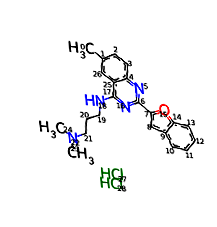 Cc1ccc2nc(-c3cc4ccccc4o3)nc(NCCCN(C)C)c2c1.Cl.Cl